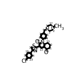 CN1CCN(Cc2ccc(-n3c4c(cc(-c5nc(-c6ccc(Cl)cc6)cs5)c3=O)C(=O)CCC4)cc2)CC1